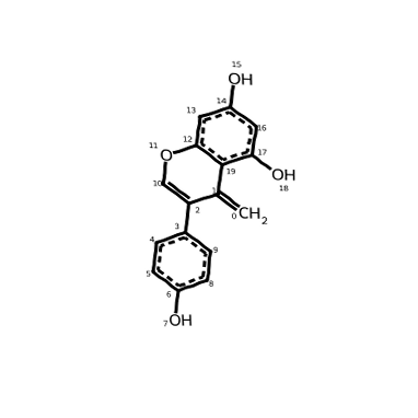 C=C1C(c2ccc(O)cc2)=COc2cc(O)cc(O)c21